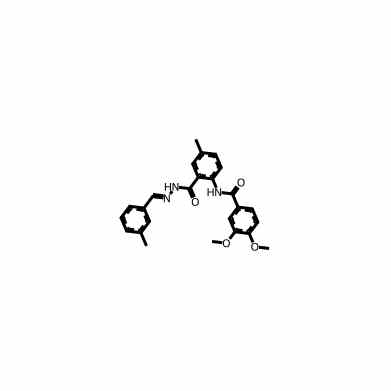 COc1ccc(C(=O)Nc2ccc(C)cc2C(=O)N/N=C/c2cccc(C)c2)cc1OC